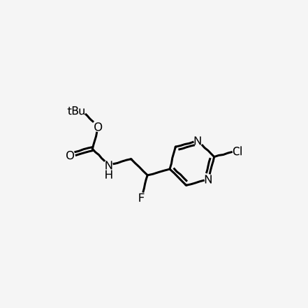 CC(C)(C)OC(=O)NCC(F)c1cnc(Cl)nc1